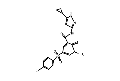 CC1C=C(S(=O)(=O)c2ccc(Cl)cc2)C=C(C(=O)Nc2cc(C3CC3)[nH]n2)C1=S